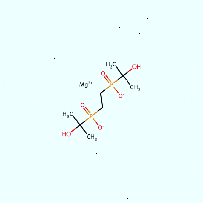 CC(C)(O)P(=O)([O-])CCP(=O)([O-])C(C)(C)O.[Mg+2]